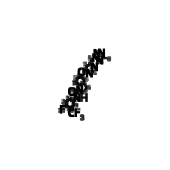 Cc1nnn(Cc2cc(Oc3ccc4c(c3)CCN4C(=O)Nc3ccc(F)c(C(F)(F)F)c3)ncn2)n1